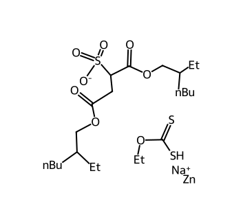 CCCCC(CC)COC(=O)CC(C(=O)OCC(CC)CCCC)S(=O)(=O)[O-].CCOC(=S)S.[Na+].[Zn]